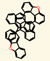 c1ccc(-c2c3ccccc3c(-c3cccc4oc5cccc(-c6c7ccccc7c(-c7ccc8oc9ccccc9c8c7)c7ccccc67)c5c34)c3ccccc23)cc1